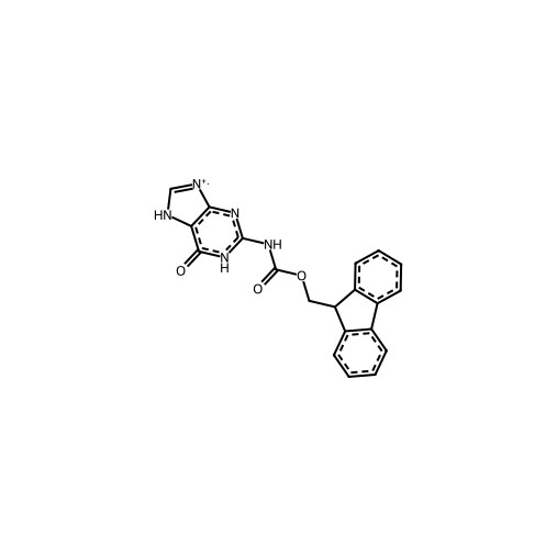 O=C(Nc1nc2c(c(=O)[nH]1)NC=[N+]2)OCC1c2ccccc2-c2ccccc21